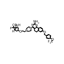 Nc1nc2c(c(N3CCN(CCOC4C[C@@H]5[C@H](C4)C5(F)C(=O)O)CC3)n1)CCc1cc(OCc3ccc(OC(F)(F)F)cc3)ccc1-2